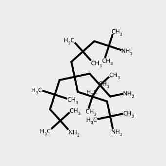 CC(C)(N)CC(C)(C)CC(CC(C)(C)CN)(CC(C)(C)CC(C)(C)N)CC(C)(C)CC(C)(C)N